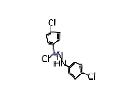 Cl/C(=N\Nc1ccc(Cl)cc1)c1ccc(Cl)cc1